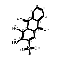 CS(=O)(=O)C1=CC2C(=O)c3ccccc3C(=O)C2C(O)=C1O